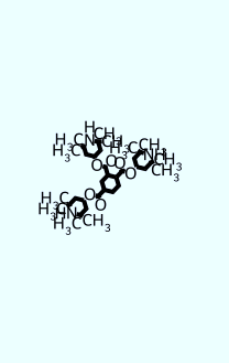 CC1(C)CC(OC(=O)C2CCC(C(=O)OC3CC(C)(C)NC(C)(C)C3)C(C(=O)OC3CC(C)(C)NC(C)(C)C3)C2)CC(C)(C)N1